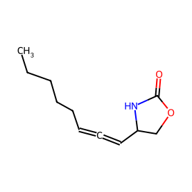 CCCCCC=C=CC1COC(=O)N1